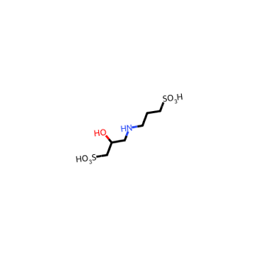 O=S(=O)(O)CCCNCC(O)CS(=O)(=O)O